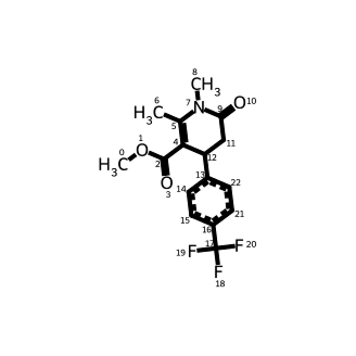 COC(=O)C1=C(C)N(C)C(=O)CC1c1ccc(C(F)(F)F)cc1